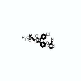 CS(=O)(=O)CCN1CC(c2cccc(Oc3nccnc3C#N)c2)N(c2ccc(Cl)cc2)C1=O